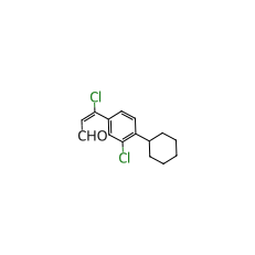 O=C/C=C(/Cl)c1ccc(C2CCCCC2)c(Cl)c1